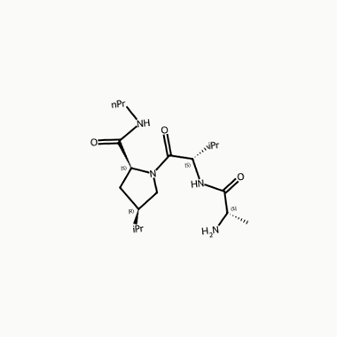 CCCNC(=O)[C@@H]1C[C@H](C(C)C)CN1C(=O)[C@@H](NC(=O)[C@H](C)N)C(C)C